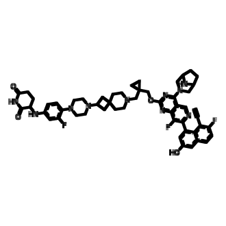 C#Cc1c(F)ccc2cc(O)cc(-c3ncc4c(N5CC6CCC(C5)N6)nc(OCC5(CN6CCC7(CC6)CC(N6CCN(c8ccc(NC9CCC(=O)NC9=O)cc8F)CC6)C7)CC5)nc4c3F)c12